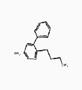 CCCCc1ccccc1-c1ccccc1.P